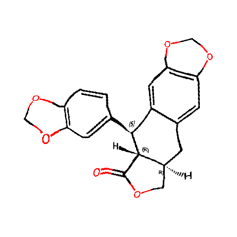 O=C1OC[C@@H]2Cc3cc4c(cc3[C@H](c3ccc5c(c3)OCO5)[C@@H]12)OCO4